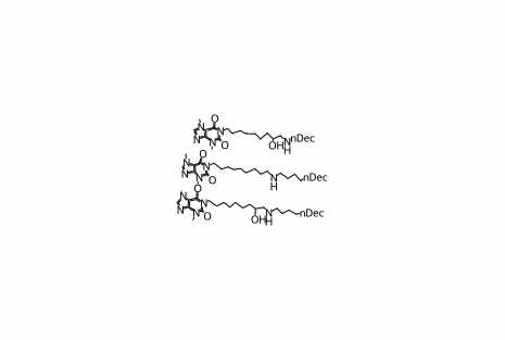 CCCCCCCCCCCCCCNCC(O)CCCCCCCn1c(=O)c2c(ncn2C)n(C)c1=O.CCCCCCCCCCCCCCNCCCCCCCCCn1c(=O)c2c(ncn2C)n(C)c1=O.CCCCCCCCCCNCC(O)CCCCCCCn1c(=O)c2c(ncn2C)n(C)c1=O